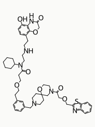 O=C1COc2c(CCNCCN(C(=O)CCOCCc3cccc(CN4CCC5(CC4)CN(C(=O)COCc4nc6ccccc6s4)CCO5)c3)C3CCCCC3)ccc(O)c2N1